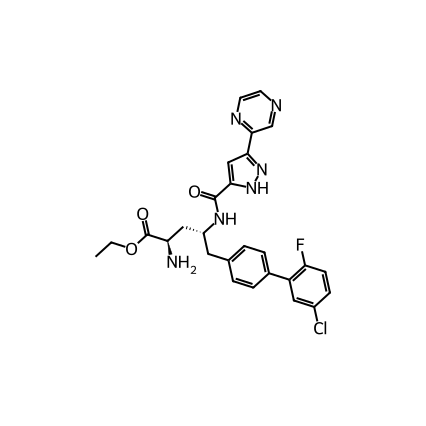 CCOC(=O)[C@H](N)C[C@@H](Cc1ccc(-c2cc(Cl)ccc2F)cc1)NC(=O)c1cc(-c2cnccn2)n[nH]1